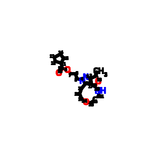 CCc1nn(CCCOC(=O)C2CCCC2)c2c1C(=O)NCCCOCCC2